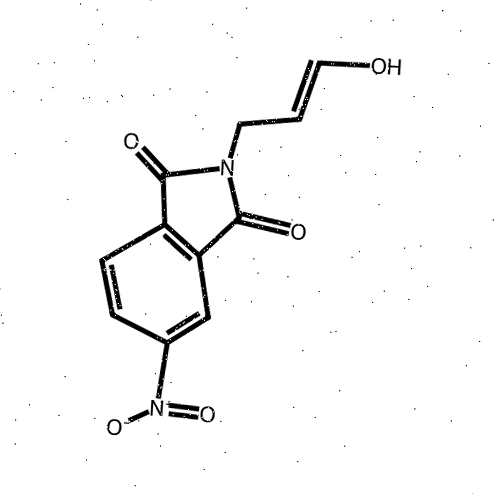 O=C1c2ccc([N+](=O)[O-])cc2C(=O)N1CC=CO